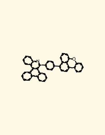 c1ccc2c(c1)Oc1cccc3c(-c4ccc(-c5nc6ccccc6c6c7ccccc7c7ccccc7c56)cc4)ccc-2c13